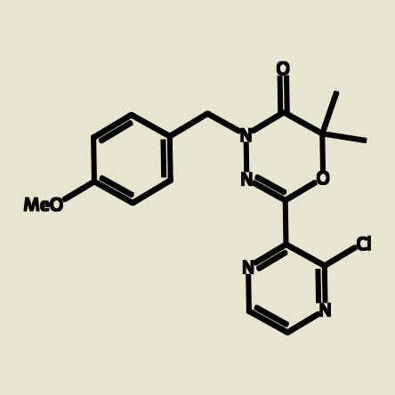 COc1ccc(CN2N=C(c3nccnc3Cl)OC(C)(C)C2=O)cc1